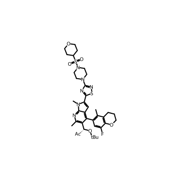 CC(=O)[C@@H](OC(C)(C)C)c1c(C)nc2c(cc(-c3nc(N4CCN(S(=O)(=O)C5CCOCC5)CC4)ns3)n2C)c1-c1cc(F)c2c(c1C)CCCO2